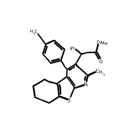 COC(=O)C(c1c(C)nc2sc3c(c2c1-c1ccc(C)cc1)CCCC3)C(C)C